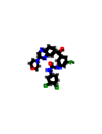 O=C(Nc1cc(F)cc(C(=O)c2ccc3ncc(N4CCOCC4)nc3c2)c1)Nc1ccc(Cl)c(Cl)c1